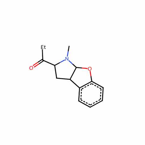 CCC(=O)C1CC2c3ccccc3OC2N1C